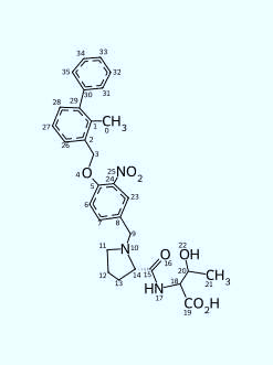 Cc1c(COc2ccc(CN3CCC[C@H]3C(=O)NC(C(=O)O)C(C)O)cc2[N+](=O)[O-])cccc1-c1ccccc1